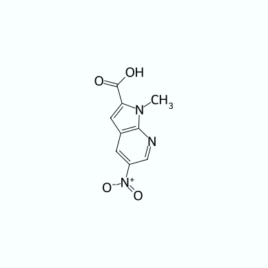 Cn1c(C(=O)O)cc2cc([N+](=O)[O-])cnc21